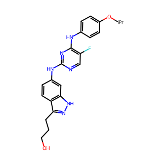 CC(C)Oc1ccc(Nc2nc(Nc3ccc4c(CCCO)n[nH]c4c3)ncc2F)cc1